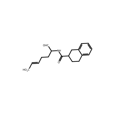 O=CC(CCC=CC(=O)O)NC(=O)C1CCc2ccccc2C1